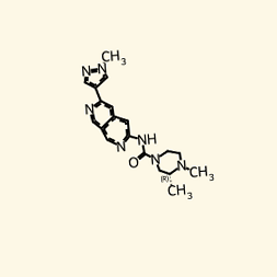 C[C@@H]1CN(C(=O)Nc2cc3cc(-c4cnn(C)c4)ncc3cn2)CCN1C